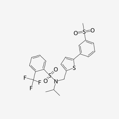 CC(C)N(Cc1ccc(-c2cccc(S(C)(=O)=O)c2)s1)S(=O)(=O)c1ccccc1C(F)(F)F